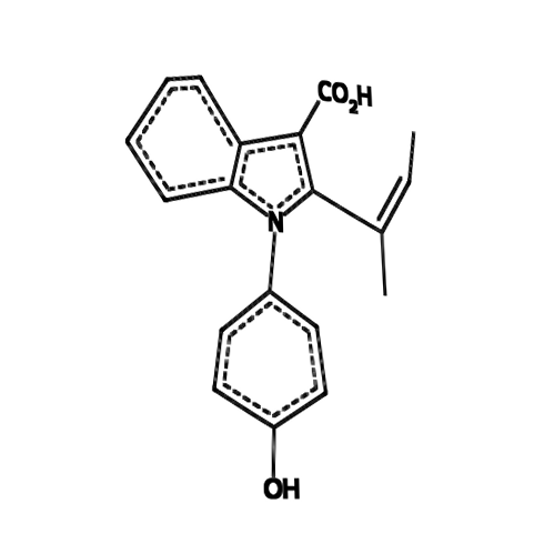 C/C=C(/C)c1c(C(=O)O)c2ccccc2n1-c1ccc(O)cc1